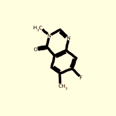 Cc1cc2c(=O)n(C)cnc2cc1F